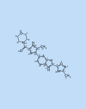 Cc1noc(-c2cc3cc(-c4nc(C(=O)N5CCOCC5)[nH]c4C)ccc3[nH]2)n1